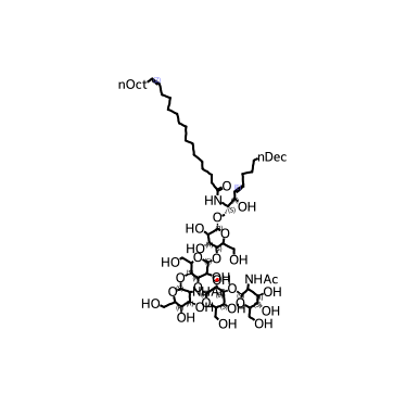 CCCCCCCC/C=C\CCCCCCCCCCCCCC(=O)N[C@@H](CO[C@@H]1OC(CO)[C@@H](O[C@@H]2OC(CO)[C@H](O[C@@H]3OC(CO)[C@H](O)[C@H](O)C3NC(C)=O)[C@H](O[C@H]3OC(CO)[C@H](O)[C@H](O[C@@H]4OC(CO)[C@@H](O)[C@H](O)C4NC(C)=O)C3O)C2O)[C@H](O)C1O)[C@H](O)/C=C/CCCCCCCCCCCCC